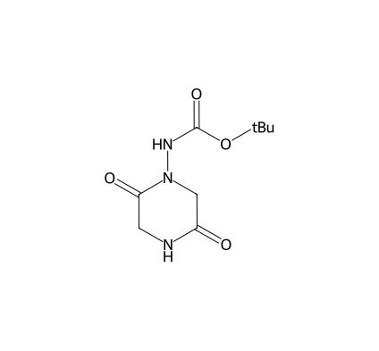 CC(C)(C)OC(=O)NN1CC(=O)NCC1=O